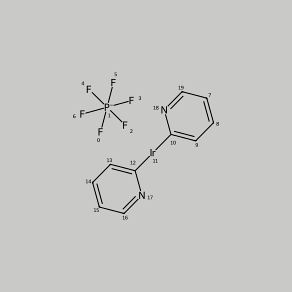 F[P-](F)(F)(F)(F)F.c1cc[c]([Ir][c]2ccccn2)nc1